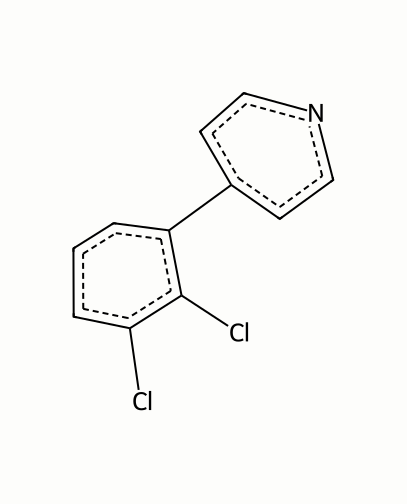 Clc1cccc(-c2ccncc2)c1Cl